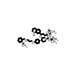 COc1ccccc1COCCCOc1ccc([C@H]2CCN(C(=O)OC(C)(C)C)C[C@@H]2OC(CCCOS(C)(=O)=O)c2ccc3c(c2)NCCC3)cc1